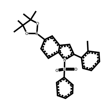 Cc1ccccc1-c1cc2cc(B3OC(C)(C)C(C)(C)O3)ccc2n1S(=O)(=O)c1ccccc1